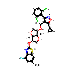 O=C(O)c1cc(F)c2nc(O[C@@H]3CO[C@H]4[C@@H]3OC[C@H]4OCc3c(-c4c(Cl)cccc4Cl)noc3C3CC3)sc2c1